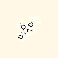 COC(=O)[C@H]1OC(=O)N(c2ccc(OC)cc2)[C@@H]1c1ccc(OC)cc1OCc1ccccc1